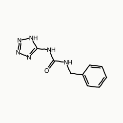 O=C(NCc1ccccc1)Nc1nnn[nH]1